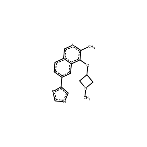 Cc1ncc2ccc(-c3cncs3)cc2c1OC1CN(C)C1